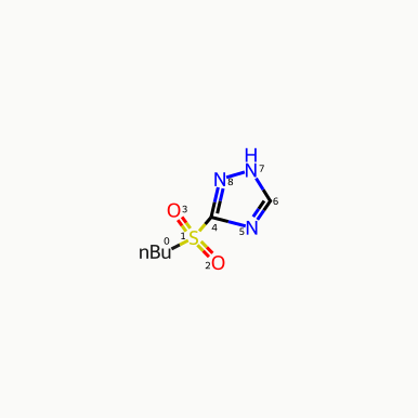 CCCCS(=O)(=O)c1nc[nH]n1